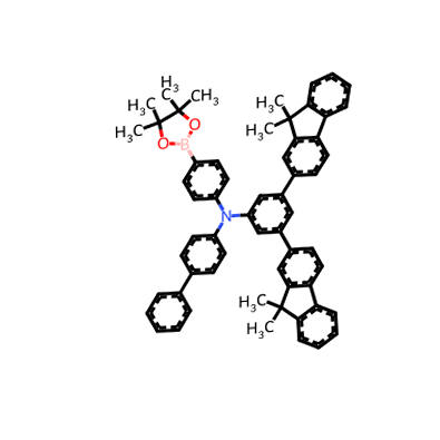 CC1(C)c2ccccc2-c2ccc(-c3cc(-c4ccc5c(c4)C(C)(C)c4ccccc4-5)cc(N(c4ccc(B5OC(C)(C)C(C)(C)O5)cc4)c4ccc(-c5ccccc5)cc4)c3)cc21